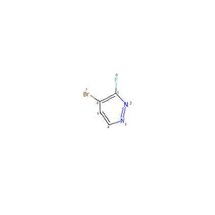 Fc1nnc[c]c1Br